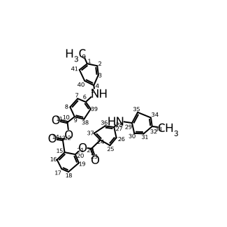 Cc1ccc(Nc2ccc(C(=O)OC(=O)c3ccccc3OC(=O)c3ccc(Nc4ccc(C)cc4)cc3)cc2)cc1